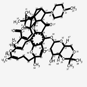 COC(=O)/C(C)=C\CC12OC(C)(C)C3CC(C1=O)C(N1CCN(C)CC1)C1C(=O)c4c(O[C@H]5O[C@H]6COC(C)(C)O[C@@H]6[C@@H](O)[C@@H]5O)c5c(c(CC=C(C)C)c4OC132)OC(C)(CCC=C(C)C)C=C5